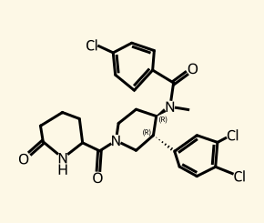 CN(C(=O)c1ccc(Cl)cc1)[C@@H]1CCN(C(=O)C2CCCC(=O)N2)C[C@H]1c1ccc(Cl)c(Cl)c1